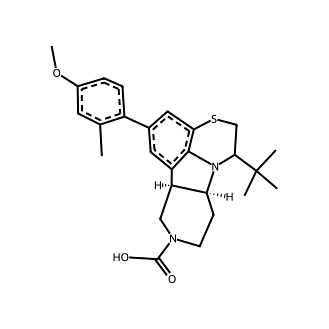 COc1ccc(-c2cc3c4c(c2)[C@@H]2CN(C(=O)O)CC[C@@H]2N4C(C(C)(C)C)CS3)c(C)c1